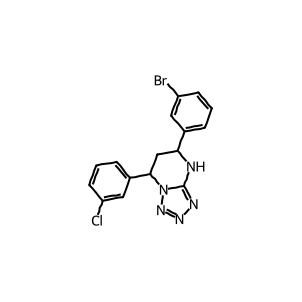 Clc1cccc(C2CC(c3cccc(Br)c3)Nc3nnnn32)c1